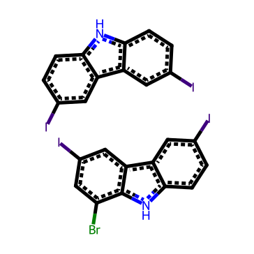 Brc1cc(I)cc2c1[nH]c1ccc(I)cc12.Ic1ccc2[nH]c3ccc(I)cc3c2c1